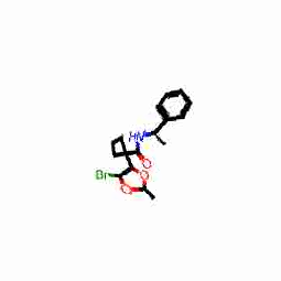 CC1OC(Br)C(C2(C(=O)N[C@H](C)c3ccccc3)CCC2)O1